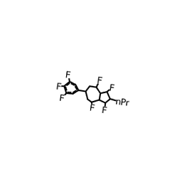 CCCC1C(F)C2C(F)CC(c3cc(F)c(F)c(F)c3)CC(F)C2C1F